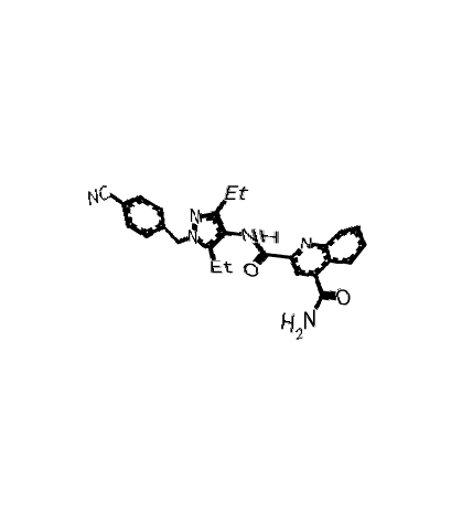 CCc1nn(Cc2ccc(C#N)cc2)c(CC)c1NC(=O)c1cc(C(N)=O)c2ccccc2n1